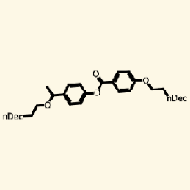 CCCCCCCCCCCCOc1ccc(C(=O)Oc2ccc(C(C)OCCCCCCCCCCCC)cc2)cc1